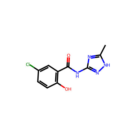 Cc1nc(NC(=O)c2cc(Cl)ccc2O)n[nH]1